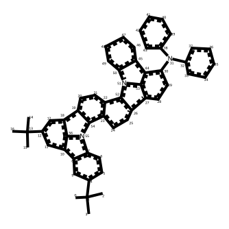 CC(C)(C)c1ccc2c(c1)c1cc(C(C)(C)C)cc3c4ccc5c(ccc6c7ccc(N(c8ccccc8)c8ccccc8)c8c9ccccc9n(c56)c78)c4n2c13